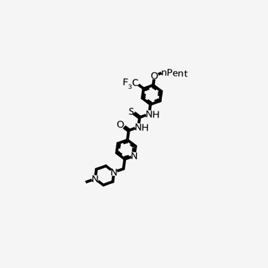 CCCCCOc1ccc(NC(=S)NC(=O)c2ccc(CN3CCN(C)CC3)nc2)cc1C(F)(F)F